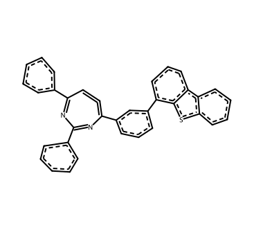 C1=CC(c2ccccc2)=NC(c2ccccc2)=NC=1c1cccc(-c2cccc3c2sc2ccccc23)c1